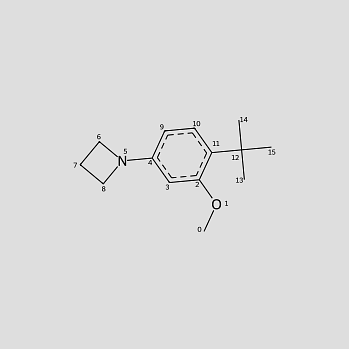 COc1cc(N2CCC2)ccc1C(C)(C)C